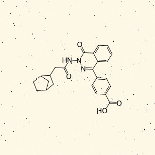 O=C(CC1CC2CCC1C2)Nn1nc(-c2ccc(C(=O)O)cc2)c2ccccc2c1=O